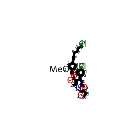 COc1cc(C#CCCCCCl)ccc1COC(=O)C1=C(C)N(C[C@H]2CCCO2)C(=O)CC1c1ccc(Cl)cc1